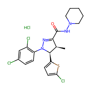 C[C@@H]1C(C(=O)NN2CCCCC2)=NN(c2ccc(Cl)cc2Cl)[C@@H]1c1ccc(Cl)s1.Cl